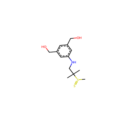 CS(=S)C(C)(C)CNc1cc(CO)cc(CO)c1